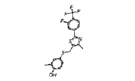 Cc1cc(SCc2sc(-c3ccc(C(F)(F)F)c(F)c3)nc2C)ccc1O